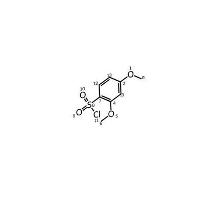 COc1[c]c(OC)c(S(=O)(=O)Cl)cc1